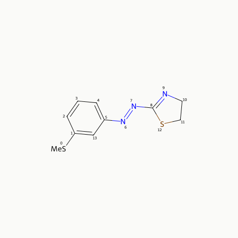 CSc1cccc(/N=N/C2=NCCS2)c1